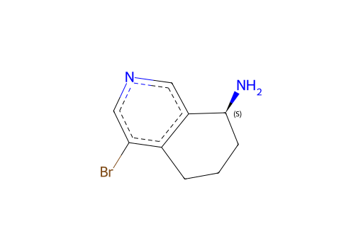 N[C@H]1CCCc2c(Br)cncc21